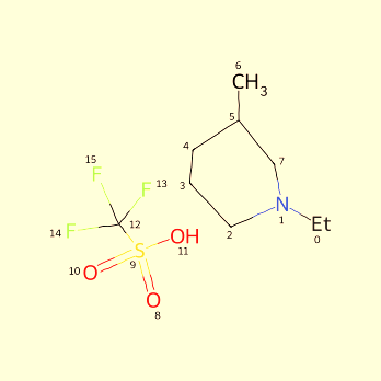 CCN1CCCC(C)C1.O=S(=O)(O)C(F)(F)F